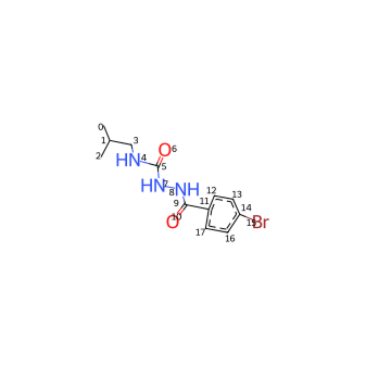 CC(C)CNC(=O)NNC(=O)c1ccc(Br)cc1